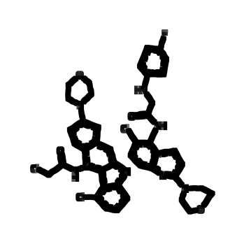 O=C(CCl)Nn1c2c3c(Cl)cccc3nc-2cc2cc(N3CCOCC3)ccc21.O=C(CNc1ccc(F)cc1)Nc1c(Cl)ccc2nc(N3CCOCC3)ccc12